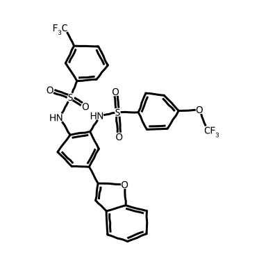 O=S(=O)(Nc1ccc(-c2cc3ccccc3o2)cc1NS(=O)(=O)c1ccc(OC(F)(F)F)cc1)c1cccc(C(F)(F)F)c1